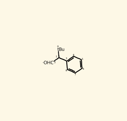 CC(C)(C)C([C]=O)c1ccccc1